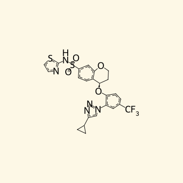 O=S(=O)(Nc1nccs1)c1ccc2c(c1)OCC[C@H]2Oc1ccc(C(F)(F)F)cc1-n1cc(C2CC2)nn1